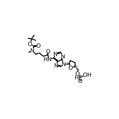 CN(CCCC(=O)Nc1ncnc2c1ncn2[C@H]1CC[C@@H](CO[PH](=O)O)O1)C(=O)OC(C)(C)C